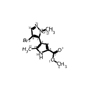 COC(=O)c1cc(-c2c(Br)cnn2C)c(C)[nH]1